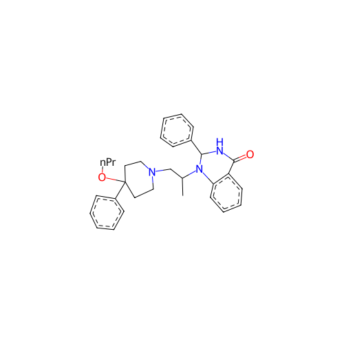 CCCOC1(c2ccccc2)CCN(CC(C)N2c3ccccc3C(=O)NC2c2ccccc2)CC1